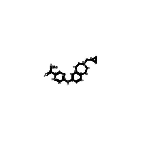 CNC(=O)c1cnc(Oc2ccc3c(c2)CCN(CC2CC2)CC3)cn1